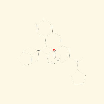 O=C(c1ccc2c(c1)Sc1ccccc1N2C1CC2CCC(C1)N2Cc1ccoc1)N1CCCC1